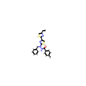 C=Cc1csc(-c2csc(N(Cc3ccccc3)NC(=O)c3ccc(C)cc3)n2)n1